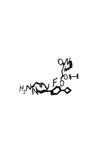 Nc1cnc(-c2ccc(C3CCC3)c(OCC(O)Cn3cccnc3=O)c2F)cn1